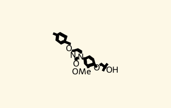 COc1cc(-n2ccc(OCc3ccc(C)cc3)nc2=O)ccc1OCC(C)(C)O